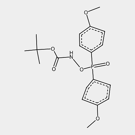 COc1ccc(P(=O)(ONC(=O)OC(C)(C)C)c2ccc(OC)cc2)cc1